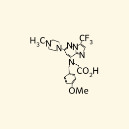 COc1ccc(CN(CC(=O)O)c2cc(N3CCN(C)CC3)nn3c(C(F)(F)F)cnc23)cc1